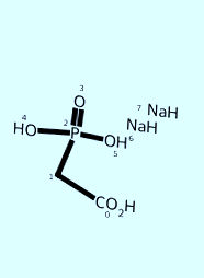 O=C(O)CP(=O)(O)O.[NaH].[NaH]